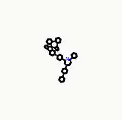 C1=CC(c2ccccc2)=NC(c2ccc(-c3ccc4c(c3)C3(c5ccccc5-c5ccccc5-c5ccccc53)c3ccccc3-4)cc2)=CC=1c1ccc(-c2ccccc2)cc1